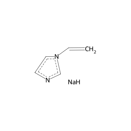 C=Cn1ccnc1.[NaH]